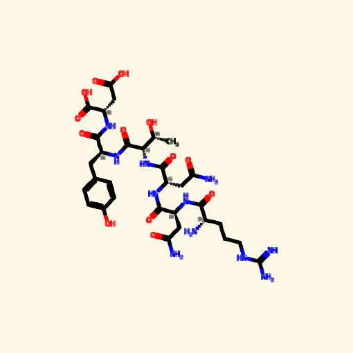 C[C@@H](O)[C@H](NC(=O)[C@H](CC(N)=O)NC(=O)[C@H](CC(N)=O)NC(=O)[C@@H](N)CCCNC(=N)N)C(=O)N[C@@H](Cc1ccc(O)cc1)C(=O)N[C@@H](CC(=O)O)C(=O)O